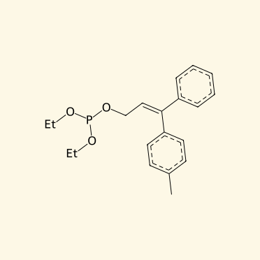 CCOP(OCC)OCC=C(c1ccccc1)c1ccc(C)cc1